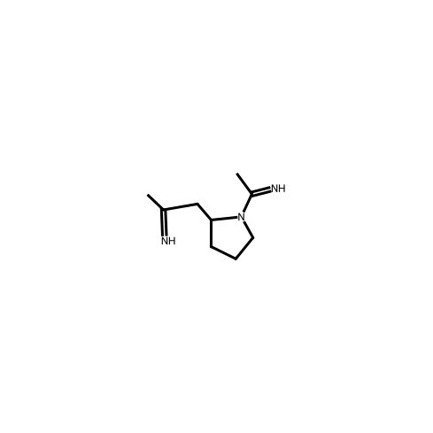 CC(=N)CC1CCCN1C(C)=N